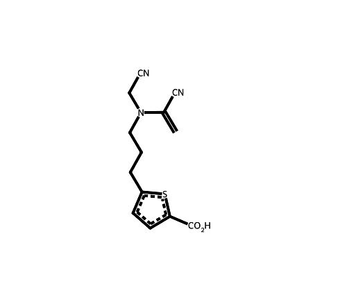 C=C(C#N)N(CC#N)CCCc1ccc(C(=O)O)s1